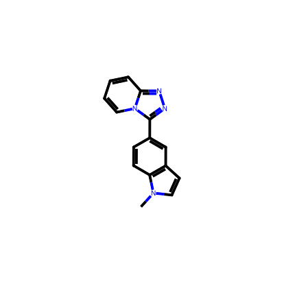 Cn1ccc2cc(-c3nnc4ccccn34)ccc21